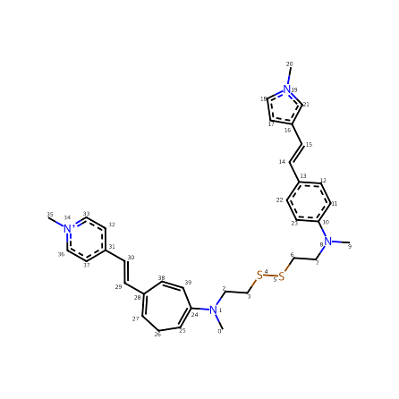 CN(CCSSCCN(C)c1ccc(/C=C/c2ccn(C)c2)cc1)C1=CCC=C(/C=C/c2cc[n+](C)cc2)C=C1